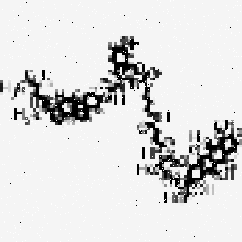 COc1cccc2c1C(=O)c1c(O)c3c(c(O)c1C2=O)C[C@@](O)(C(=O)CO)C[C@@H]3O[C@H]1C[C@H](NC(=O)CCC(=O)NCCCC[C@@H](NC(=O)C(Cc2ccc(O)cc2)NC(=O)OC2CCC3(C)C(=CCC4[C@@H]3CCC3(C)C([C@H](C)CCCC(C)C)CC[C@@H]43)C2)C(=O)O)[C@H](O)[C@H](C)O1